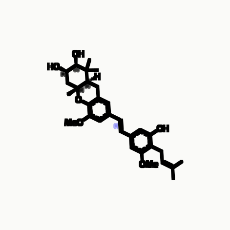 COc1cc(/C=C/c2cc3c(c(OC)c2)O[C@]2(C)C[C@@H](O)[C@@H](O)C(C)(C)[C@H]2C3)cc(O)c1CC=C(C)C